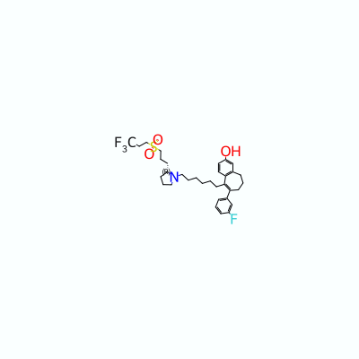 O=S(=O)(CCC[C@H]1CCCN1CCCCCCC1=C(c2cccc(F)c2)CCCc2cc(O)ccc21)CCC(F)(F)F